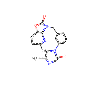 Cc1cn(-c2cccc(Cn3c(=O)oc4ccc(C)nc43)c2)c(=O)cn1